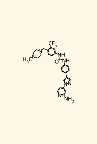 CN1CCN(Cc2ccc(NC(=O)Nc3ccc(-c4cnn(-c5ccnc(N)c5)c4)cc3)cc2C(F)(F)F)CC1